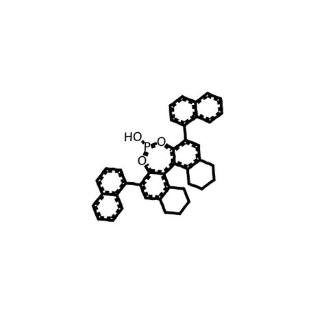 Op1oc2c(-c3cccc4ccccc34)cc3c(c2c2c4c(cc(-c5cccc6ccccc56)c2o1)CCCC4)CCCC3